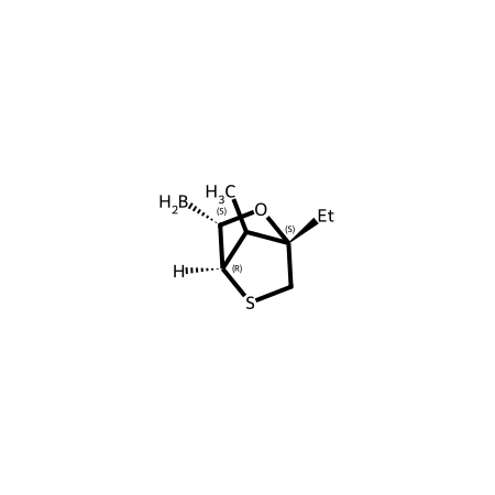 B[C@@H]1O[C@]2(CC)CS[C@@H]1C2C